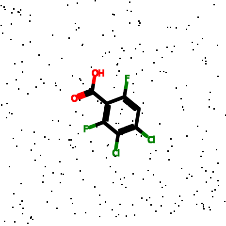 O=C(O)c1c(F)cc(Cl)c(Cl)c1F